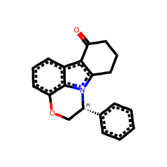 O=C1CCCc2c1c1cccc3c1n2[C@H](c1ccccc1)CO3